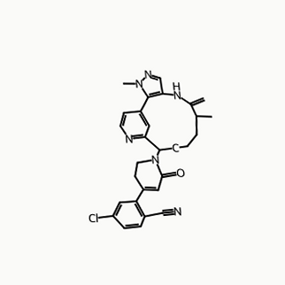 C=C1Nc2cnn(C)c2-c2ccnc(c2)C(N2CCC(c3cc(Cl)ccc3C#N)=CC2=O)CCCC1C